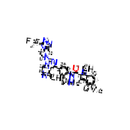 COc1cc(-c2nc(N3CCn4c(nnc4C(F)(F)F)C3)n3ccnc(C)c23)ccc1NC(=O)c1cc2c(OC)cccc2n1C